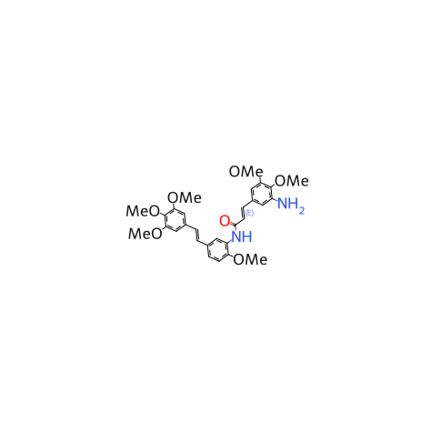 COc1ccc(C=Cc2cc(OC)c(OC)c(OC)c2)cc1NC(=O)/C=C/c1cc(N)c(OC)c(OC)c1